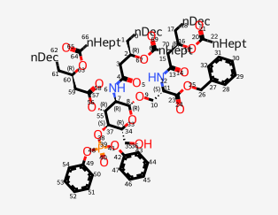 CCCCCCCCCCC[C@H](CC(=O)N[C@H]1[C@H](OC[C@H](NC(=O)C[C@@H](CCCCCCCCCCC)OC(=O)CCCCCCC)C(=O)OCc2ccccc2)O[C@H](CO)[C@@H](OP(=O)(Oc2ccccc2)Oc2ccccc2)[C@@H]1OC(=O)C[C@@H](CCCCCCCCCCC)OC(=O)CCCCCCC)OC(=O)CCCCCCC